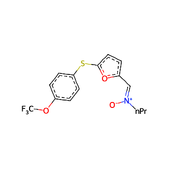 CCC[N+]([O-])=Cc1ccc(Sc2ccc(OC(F)(F)F)cc2)o1